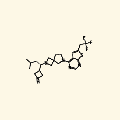 CC(C)C[C@@H](C1CNC1)N1CC2(CCN(c3ncnc4sc(CC(F)(F)F)cc34)C2)C1